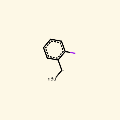 CCCC[CH]c1ccccc1I